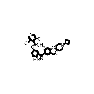 C[C@@H](Oc1ccc2[nH]nc(-c3ccc4c(c3)COC3(CCN(C5CCC5)CC3)O4)c2c1)c1c(Cl)cncc1Cl